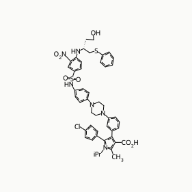 Cc1c(C(=O)O)c(-c2cccc(N3CCN(c4ccc(NS(=O)(=O)c5ccc(N[C@H](CCO)CSc6ccccc6)c([N+](=O)[O-])c5)cc4)CC3)c2)c(-c2ccc(Cl)cc2)n1C(C)C